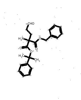 CC(C)(OC(=O)C(N)(CCC=O)C(=O)OCc1ccccc1)c1ccccc1